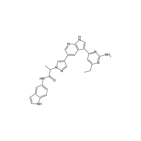 CCc1cc(-c2c[nH]c3ncc(-c4cnn(C(C)C(=O)Nc5ccc6[nH]ccc6c5)c4)cc23)nc(N)n1